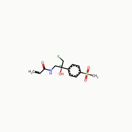 C=CC(=O)NC[C@](O)(CF)c1ccc(S(C)(=O)=O)cc1